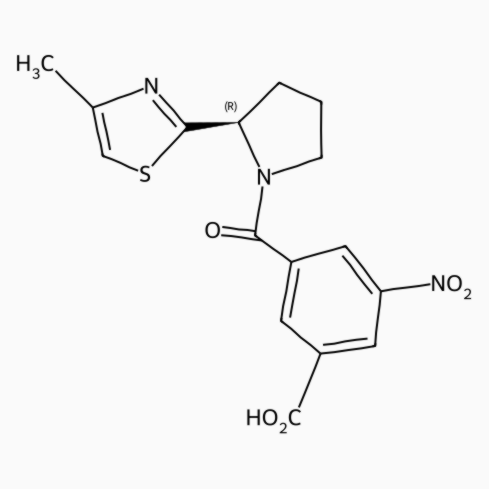 Cc1csc([C@H]2CCCN2C(=O)c2cc(C(=O)O)cc([N+](=O)[O-])c2)n1